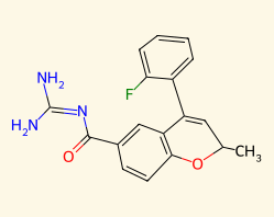 CC1C=C(c2ccccc2F)c2cc(C(=O)N=C(N)N)ccc2O1